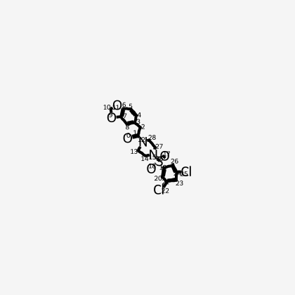 O=C(Cc1ccc2c(c1)OCO2)N1CCN(S(=O)(=O)c2cc(Cl)cc(Cl)c2)CC1